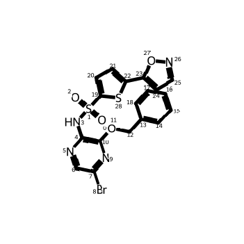 O=S(=O)(Nc1ncc(Br)nc1OCc1ccccc1)c1ccc(-c2ccno2)s1